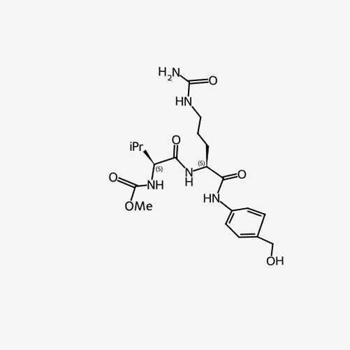 COC(=O)N[C@H](C(=O)N[C@@H](CCCNC(N)=O)C(=O)Nc1ccc(CO)cc1)C(C)C